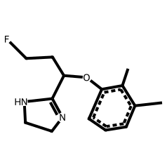 Cc1cccc(OC(CCF)C2=NCCN2)c1C